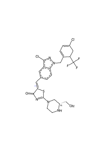 O=C1N=C(N2CCN[C@@H](CO)C2)S/C1=C\c1ccc2c(c1)c(Cl)nn2CC1=CC=C(Cl)CC1C(F)(F)F